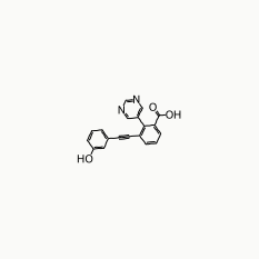 O=C(O)c1cccc(C#Cc2cccc(O)c2)c1-c1cncnc1